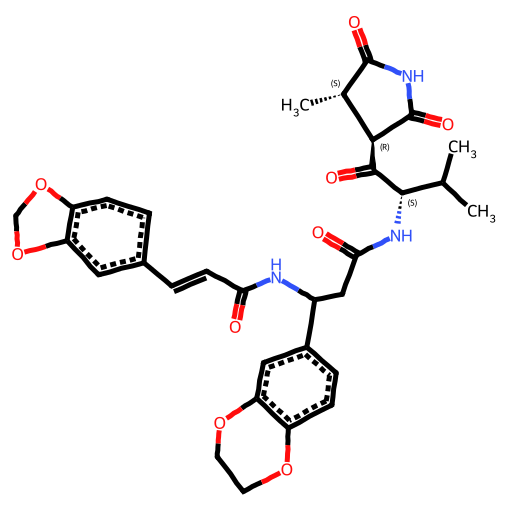 CC(C)[C@H](NC(=O)CC(NC(=O)C=Cc1ccc2c(c1)OCO2)c1ccc2c(c1)OCCO2)C(=O)[C@@H]1C(=O)NC(=O)[C@H]1C